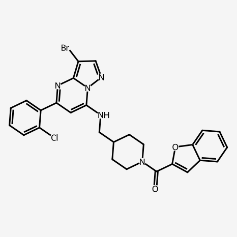 O=C(c1cc2ccccc2o1)N1CCC(CNc2cc(-c3ccccc3Cl)nc3c(Br)cnn23)CC1